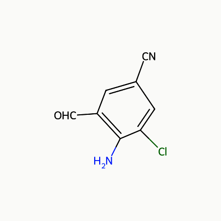 N#Cc1cc(Cl)c(N)c(C=O)c1